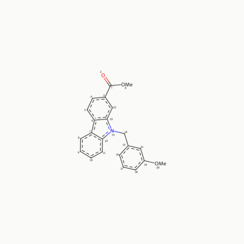 COC(=O)c1ccc2c3ccccc3n(Cc3cccc(OC)c3)c2c1